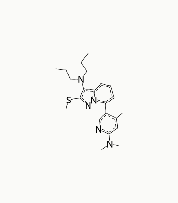 CCCN(CCC)c1c(SC)nn2c(-c3cnc(N(C)C)cc3C)cccc12